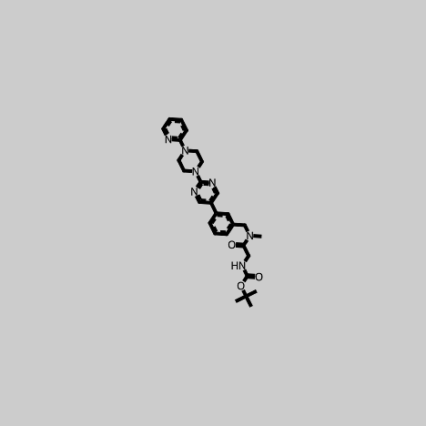 CN(Cc1cccc(-c2cnc(N3CCN(c4ccccn4)CC3)nc2)c1)C(=O)CNC(=O)OC(C)(C)C